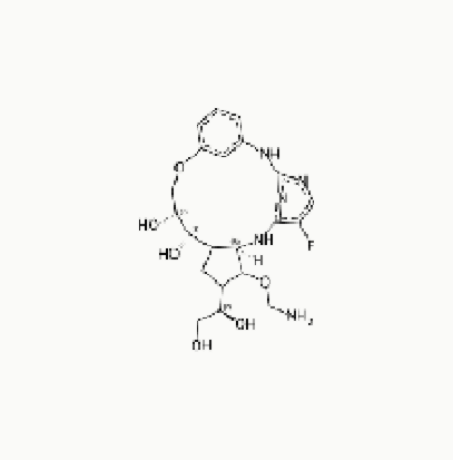 NCOC1C([C@@H](O)CO)CC2[C@H]1Nc1nc(ncc1F)Nc1cccc(c1)OC[C@@H](O)[C@H]2O